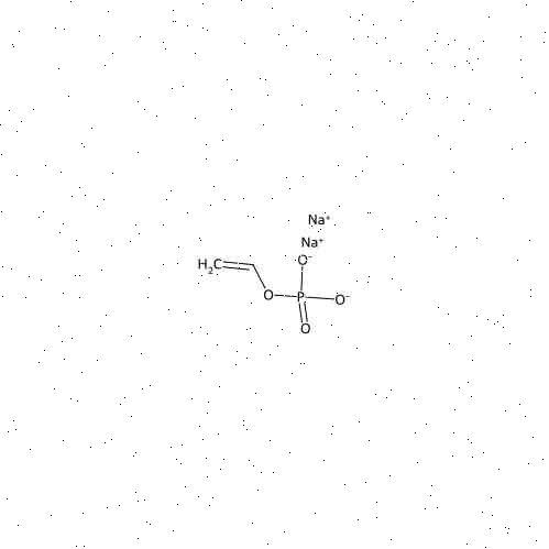 C=COP(=O)([O-])[O-].[Na+].[Na+]